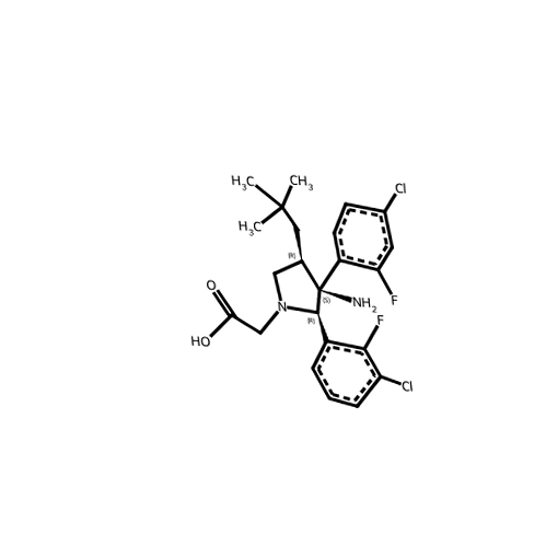 CC(C)(C)C[C@@H]1CN(CC(=O)O)[C@H](c2cccc(Cl)c2F)[C@@]1(N)c1ccc(Cl)cc1F